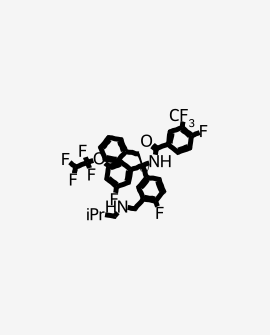 CC(C)CNCc1cc([C@@](Cc2ccccc2)(NC(=O)c2ccc(F)c(C(F)(F)F)c2)c2cc(F)cc(OC(F)(F)C(F)F)c2)ccc1F